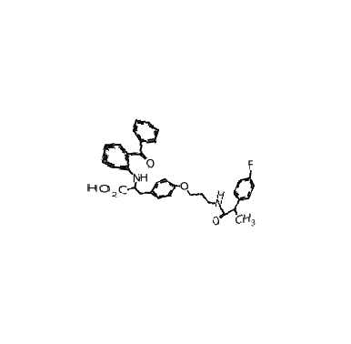 CC(C(=O)NCCCOc1ccc(CC(Nc2ccccc2C(=O)c2ccccc2)C(=O)O)cc1)c1ccc(F)cc1